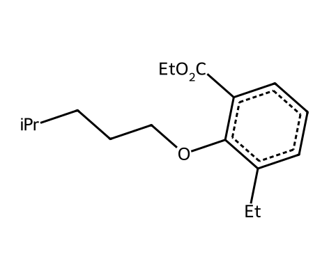 CCOC(=O)c1cccc(CC)c1OCCCC(C)C